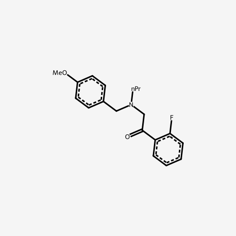 CCCN(CC(=O)c1ccccc1F)Cc1ccc(OC)cc1